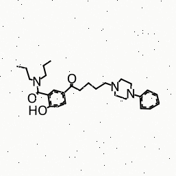 CCCN(CCC)C(=O)c1cc(C(=O)CCCCN2CCN(c3ccccc3)CC2)ccc1O